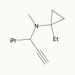 C#CC(C(C)C)N(C)C1(CC)CC1